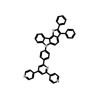 c1ccc(-c2sc3c(ccc4c3c3ccccc3n4-c3ccc(-c4cc(-c5ccncc5)cc(-c5ccncc5)n4)cc3)c2-c2ccccc2)cc1